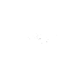 CC(C)(C)OC(=O)N(Cc1cnc(N2CCNC(C(=O)O)C2)nc1)C(=O)OC(C)(C)C